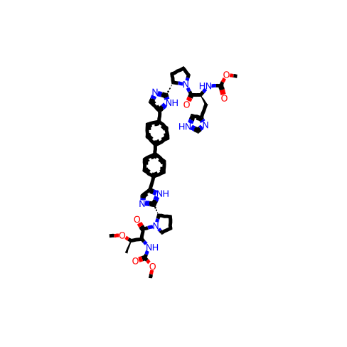 COC(=O)NC(C(=O)N1CCC[C@H]1c1ncc(-c2ccc(-c3ccc(-c4cnc([C@@H]5CCCN5C(=O)[C@H](Cc5c[nH]cn5)NC(=O)OC)[nH]4)cc3)cc2)[nH]1)[C@@H](C)OC